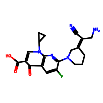 N#CC(CN)=C1CCCN(c2nc3c(cc2F)c(=O)c(C(=O)O)cn3C2CC2)C1